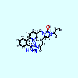 CCCCc1cn(C(C)CC)c(=O)n1Cc1ccc(-c2ccccc2-c2nnn[nH]2)nc1